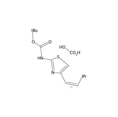 CC(C)/C=C\c1csc(NC(=O)OC(C)(C)C)n1.O=C(O)O